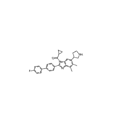 Cc1c(C2CCNC2)cc2c(nc(-c3ccc(-c4ccc(F)cc4)cc3)n2C(=O)C2CC2)c1C